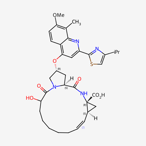 COc1ccc2c(O[C@@H]3C[C@H]4C(=O)N[C@]5(C(=O)O)C[C@H]5/C=C\CCCCCC(O)C(=O)N4C3)cc(-c3nc(C(C)C)cs3)nc2c1C